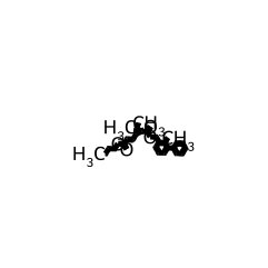 CCCCOC(=O)C=CC1C(C(=O)OCc2cccc(-c3ccccc3)c2C)C1(C)C